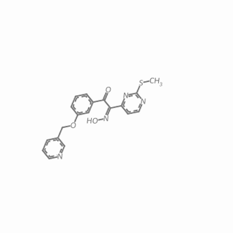 CSc1nccc(C(=NO)C(=O)c2cccc(OCc3cccnc3)c2)n1